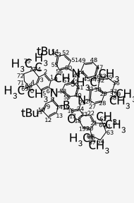 Cc1cc2c(cc1N1c3cc(C(C)(C)C)ccc3B3c4oc5cc6c(cc5c4N(c4ccc5c(c4)C(C)(C)CCC5(C)C)c4cc(N(c5ccccc5)c5ccc(C(C)(C)C)cc5)cc1c43)C(C)(C)CCC6(C)C)C(C)(C)CCC2(C)C